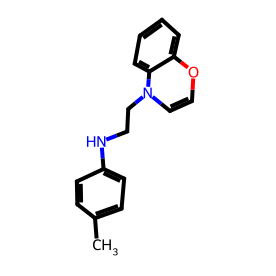 Cc1ccc(NCCN2C=COc3ccccc32)cc1